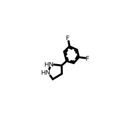 Fc1cc(F)cc(C2CCNN2)c1